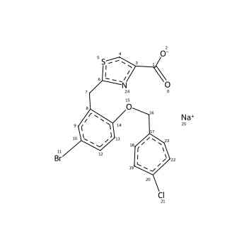 O=C([O-])c1csc(Cc2cc(Br)ccc2OCc2ccc(Cl)cc2)n1.[Na+]